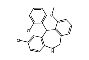 COc1cccc2c1C(c1ccccc1Cl)c1cc(Cl)ccc1NC2